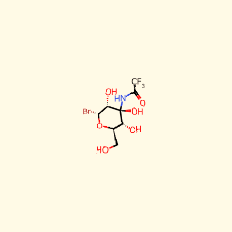 O=C(N[C@]1(O)[C@H](O)[C@@H](CO)O[C@H](Br)[C@@H]1O)C(F)(F)F